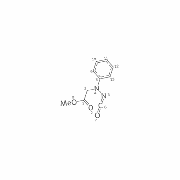 COC(=O)CN(N=C=O)c1ccccc1